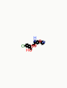 O=C(COc1cc2ccc(Cl)cc2cc1CO)c1c[nH]c2cc(Oc3cccnc3)ccc12